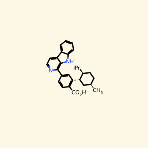 CC(C)[C@H]1CC[C@H](C)C[C@@H]1c1cc(-c2nccc3c2[nH]c2ccccc23)ccc1C(=O)O